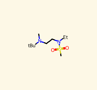 CCN(CCN(C)C(C)(C)C)S(C)(=O)=O